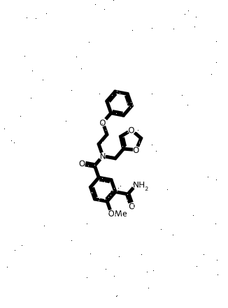 COc1ccc(C(=O)N(CCOc2ccccc2)CC2=COCO2)cc1C(N)=O